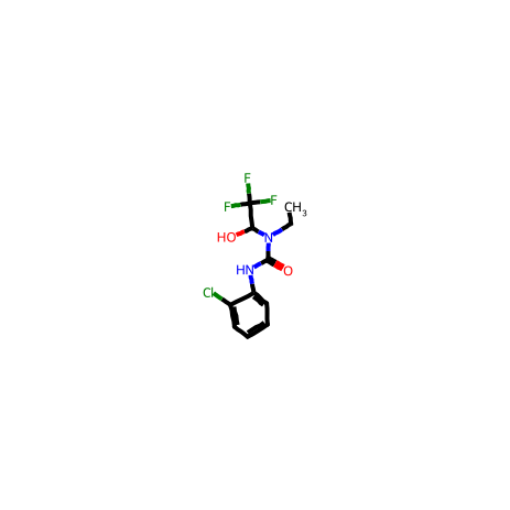 CCN(C(=O)Nc1ccccc1Cl)C(O)C(F)(F)F